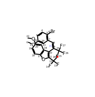 COc1ccc(Br)c(/C=C(\c2c(C(F)(F)F)oc3ccc(OC)cc23)C(F)(F)F)c1